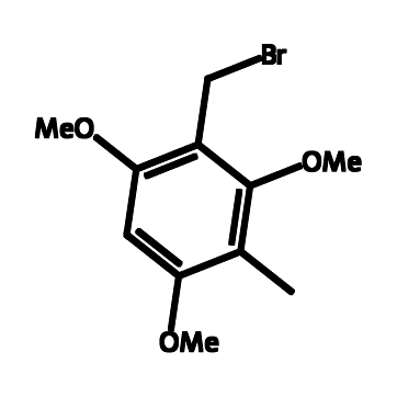 COc1cc(OC)c(CBr)c(OC)c1C